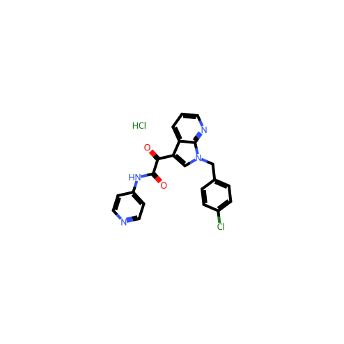 Cl.O=C(Nc1ccncc1)C(=O)c1cn(Cc2ccc(Cl)cc2)c2ncccc12